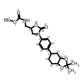 CC(C)(C)OC(=O)NCC1CN(c2ccc(C3CCC4OC(C)(C)OC4C3)cc2)C(=O)O1